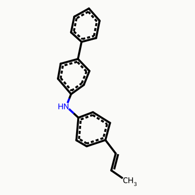 C/C=C/c1ccc(Nc2ccc(-c3ccccc3)cc2)cc1